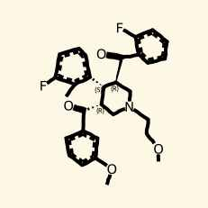 COCCN1C[C@H](C(=O)c2cccc(OC)c2)[C@H](c2cccc(F)c2C)[C@@H](C(=O)c2ccccc2F)C1